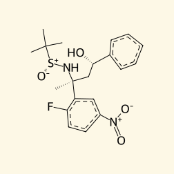 CC(C)(C)[S@@+]([O-])N[C@@](C)(C[C@H](O)c1ccccc1)c1cc([N+](=O)[O-])ccc1F